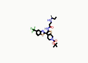 CC[C@H](C)NCCC(=O)Nc1sc2c(c1-c1nc3cc(C(F)(F)F)ccc3s1)CCN(C(=O)OC(C)(C)C)C2